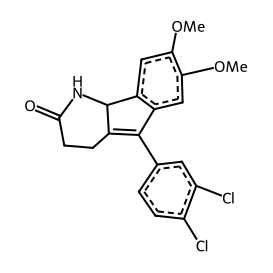 COc1cc2c(cc1OC)C1NC(=O)CCC1=C2c1ccc(Cl)c(Cl)c1